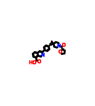 O=C(O)c1cccc2cc(-c3ccc([C@H]4CC45CCN(C(=O)[C@H]4CCCO4)CC5)cc3)ncc12